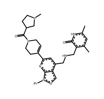 Cc1cc(C)c(CNCc2cc(C3=CCN(C(=O)C4CCN(C)C4)CC3)nc3c2cnn3C(C)C)c(=O)[nH]1